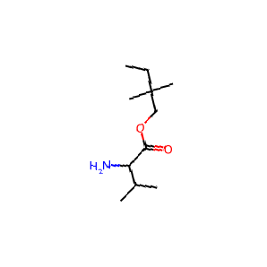 CCC(C)(C)COC(=O)C(N)C(C)C